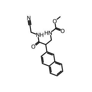 COC(=O)NCC(C(=O)NCC#N)c1ccc2ccccc2c1